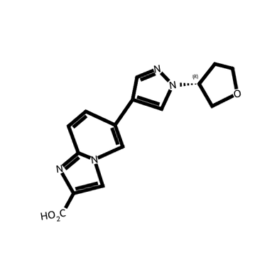 O=C(O)c1cn2cc(-c3cnn([C@@H]4CCOC4)c3)ccc2n1